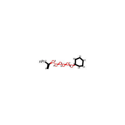 C=C(CCC)OOOOOOC1CCCCC1